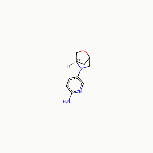 Nc1ccc(N2CC3C[C@@H]2CO3)cn1